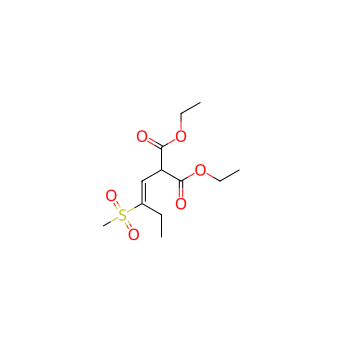 CCOC(=O)C(C=C(CC)S(C)(=O)=O)C(=O)OCC